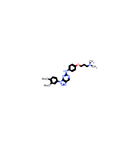 COc1ccc(-n2nnc3cnc(Nc4ccc(OCCCN(C)C)cc4)nc32)cc1OC